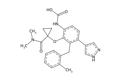 Cc1ccccc1Cc1c(-c2cn[nH]c2)ccc(NC(=O)O)c1OC1(C(=O)N(C)C)CC1